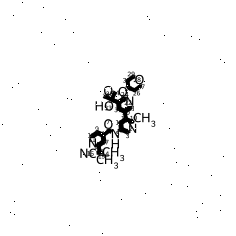 Cc1ncc(NC(=O)c2ccnc(C(C)(C)C#N)c2)cc1-c1cnc(OC2CCOCC2)c(C2(O)COC2)c1